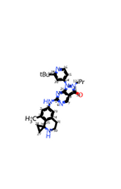 Cc1cc(Nc2ncc3c(=O)n(C(C)C)n(-c4ccnc(C(C)(C)C)c4)c3n2)cc2c1C1(CC1)NCC2